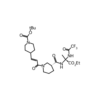 CCOC(=O)[C@](C)(NC(=O)[C@@H]1CCCN(C(=O)/C=C/C2CCN(C(=O)OC(C)(C)C)CC2)C1)NC(=O)C(F)(F)F